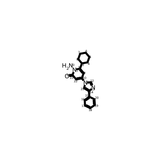 Nn1c(C2CCCCC2)cc(-n2cnc(-c3ccccc3)c2)cc1=O